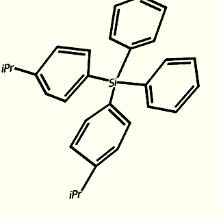 CC(C)c1ccc([Si](c2ccccc2)(c2ccccc2)c2ccc(C(C)C)cc2)cc1